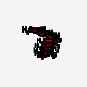 CC(C)[C@H](NC(=O)O)C(=O)N[C@H](C)c1nc2ccc(F)cc2s1.CCCCNC(=O)n1c(NC(=O)OC)nc2ccccc21.CCCOC(=O)NCCCN(C)C.CCOC(=O)NC(=S)Nc1ccccc1NC(=S)NC(=O)OCC.COC(=O)NC(=S)Nc1ccccc1N=Cc1ccco1.COC(=O)NC(=S)Nc1ccccc1NC(=S)NC(=O)OC.Cc1ccc([C@H](C)NC(=O)C(NC(=O)OC(C)C)C(C)C)cc1